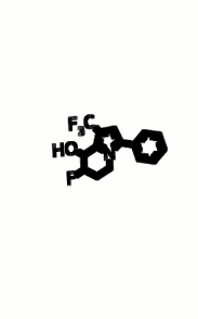 OC1c2c(C(F)(F)F)cc(-c3ccccc3)n2CCC1F